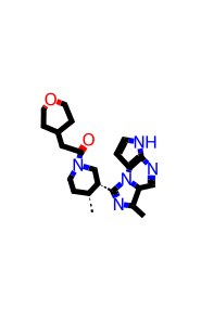 CC1N=C([C@H]2CN(C(=O)CC3CCOCC3)CC[C@H]2C)N2c3cc[nH]c3N=CC12